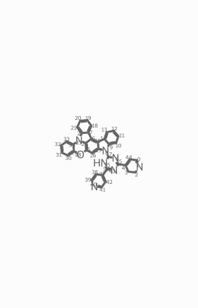 C1=NCCC(C2=NC(n3c4ccccc4c4c5c6ccccc6n6c5c(cc43)Oc3ccccc3-6)NC(c3ccncc3)=N2)=C1